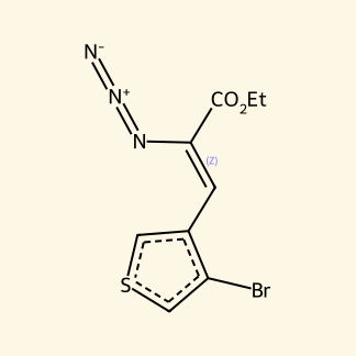 CCOC(=O)/C(=C/c1cscc1Br)N=[N+]=[N-]